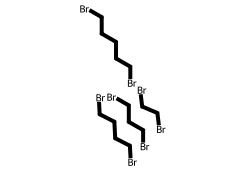 BrCCBr.BrCCCBr.BrCCCCBr.BrCCCCCBr